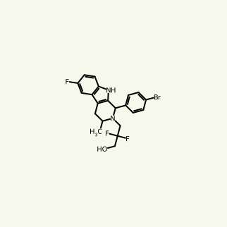 CC1Cc2c([nH]c3ccc(F)cc23)C(c2ccc(Br)cc2)N1CC(F)(F)CO